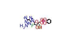 CN(C)c1nc(N)nc2c1ncn2[C@@H]1O[C@](CCl)(COP2(=O)Oc3ccccc3O2)[C@@H](O)[C@H]1F